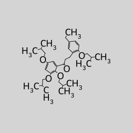 CCc1ccc(OCC(C)C)c(CCC(=O)c2cc(OCC(C)C)cc(OCC(C)C)c2OCC(C)C)c1